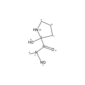 CN(N=O)C(=O)C1(O)CCCN1